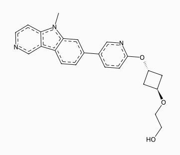 Cn1c2ccncc2c2ccc(-c3ccc(O[C@H]4C[C@H](OCCO)C4)nc3)cc21